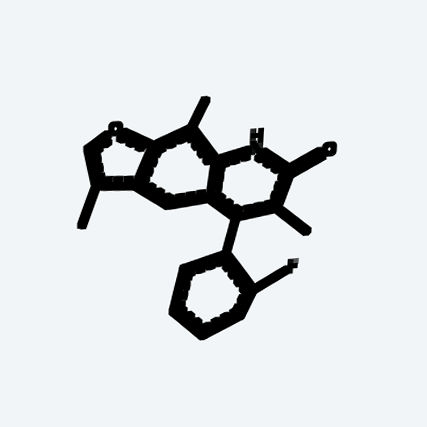 Cc1c(-c2ccccc2F)c2cc3c(C)coc3c(C)c2[nH]c1=O